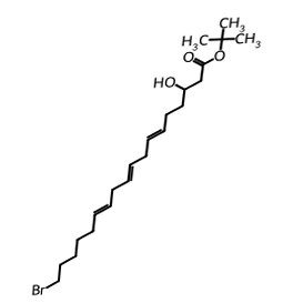 CC(C)(C)OC(=O)CC(O)CC/C=C/C/C=C/C/C=C/CCCCCBr